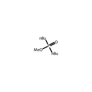 CCCCP(=O)(CCCC)OC